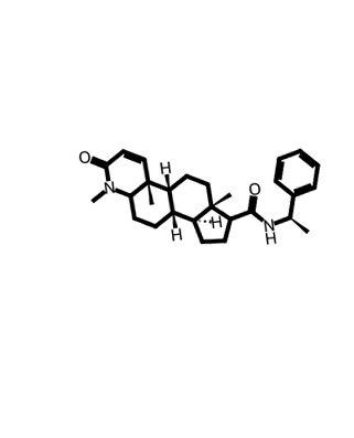 C[C@@H](NC(=O)C1CC[C@H]2[C@@H]3CCC4N(C)C(=O)C=C[C@]4(C)[C@@H]3CC[C@]12C)c1ccccc1